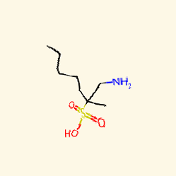 CCCCCC(C)(CN)S(=O)(=O)O